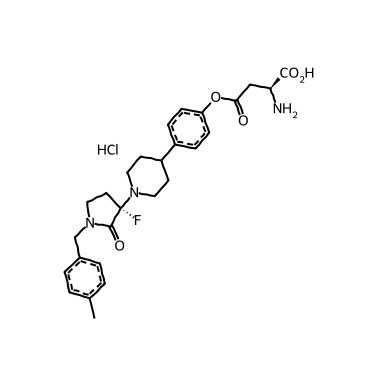 Cc1ccc(CN2CC[C@@](F)(N3CCC(c4ccc(OC(=O)C[C@H](N)C(=O)O)cc4)CC3)C2=O)cc1.Cl